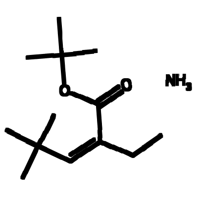 CCC(=CC(C)(C)C)C(=O)OC(C)(C)C.N